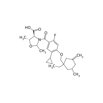 C=C1CC(C)CC(CC)(COc2cc(F)c(C(=O)N3C(C)O[C@H](C)[C@H]3C(=O)O)cc2C2CC2)C1